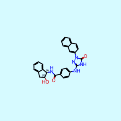 O=C(N[C@@H]1c2ccccc2C[C@@H]1O)c1ccc(Nc2nn(-c3ccc4ccccc4c3)c(=O)[nH]2)cc1